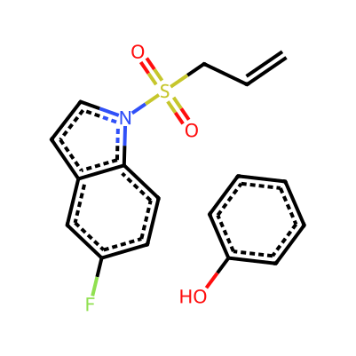 C=CCS(=O)(=O)n1ccc2cc(F)ccc21.Oc1ccccc1